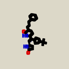 CC(C)(C)c1ccc(/C(=C\[C@H]2CCC(=O)N2)c2ccc(CCCc3ccccc3)c(=O)[nH]2)cc1